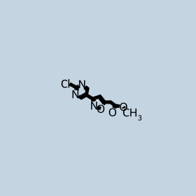 COC(=O)Cc1cc(-c2cnc(Cl)nc2)no1